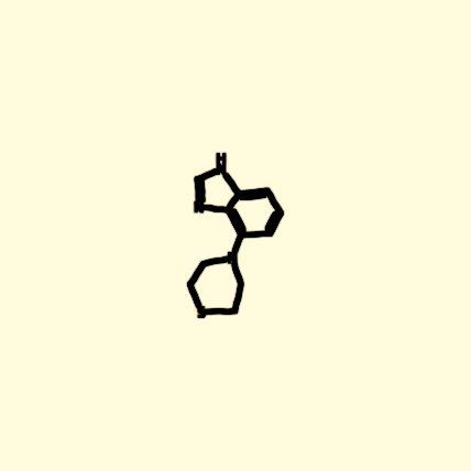 c1cc(N2CCSCC2)c2nc[nH]c2c1